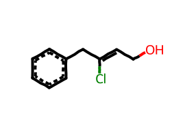 OCC=C(Cl)Cc1ccccc1